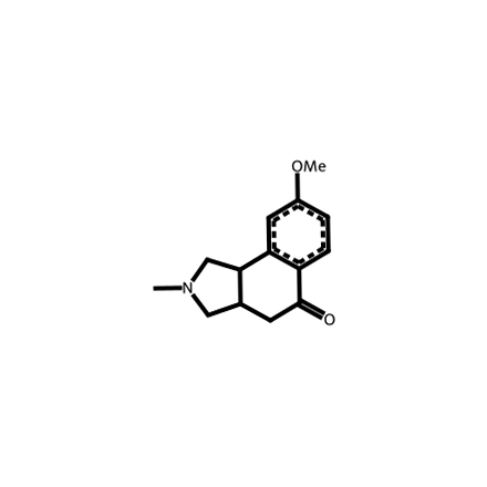 COc1ccc2c(c1)C1CN(C)CC1CC2=O